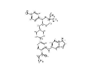 COC(=O)c1ccc(N2CCC(CC3CCC(C)(C)CC3c3ccc(Cl)cc3)CC2)cc1Oc1cnc2[nH]ccc2c1